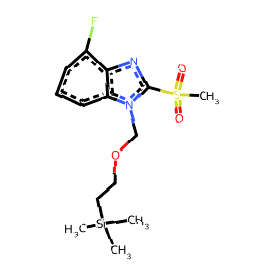 C[Si](C)(C)CCOCn1c(S(C)(=O)=O)nc2c(F)cccc21